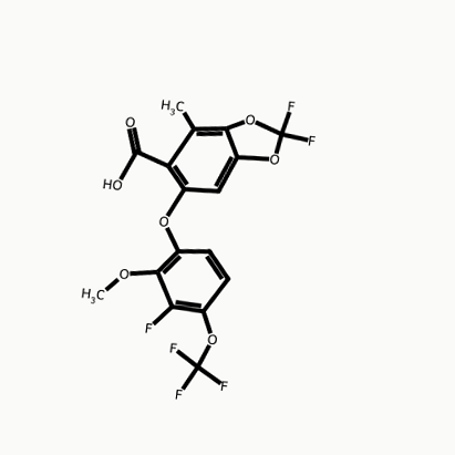 COc1c(Oc2cc3c(c(C)c2C(=O)O)OC(F)(F)O3)ccc(OC(F)(F)F)c1F